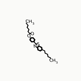 CCCCCCC(=O)Oc1ccc(-c2nc3ccc(CCCCCC)cc3s2)cc1